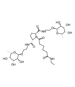 CCNC(=O)CCCCC(=O)N1[C@H](C(=O)NCCO[C@@H]2O[C@@H](C)[C@@H](O)[C@@H](O)[C@@H]2O)CC[C@H]1C(=O)NCCO[C@@H]1O[C@@H](C)[C@@H](O)[C@@H](O)[C@@H]1O